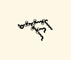 CC/C=C\CCCCOC(CCC(=O)OCC(COC(=O)CCCCC(=O)OC(CC)CCCCCCCC)COC(=O)OCC1CCCN(CC)C1)OCCCC/C=C\CC